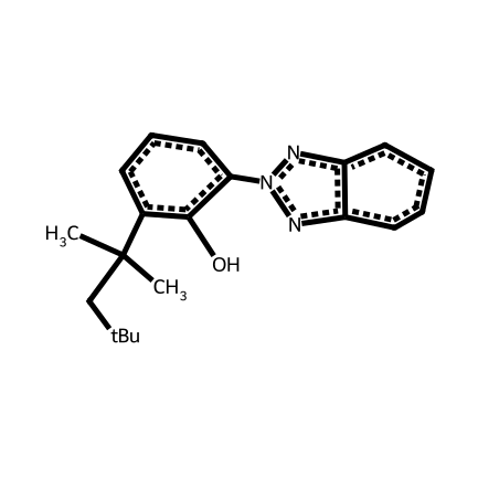 CC(C)(C)CC(C)(C)c1cccc(-n2nc3ccccc3n2)c1O